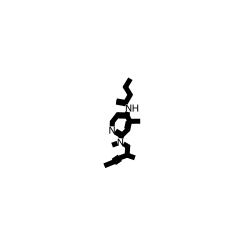 C=C(CCC)NC1=CCN=C(N(C)CC(C)C#CC)C=C1C